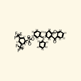 O=S(=O)([O-])c1cc(C(F)(F)F)cc(C(F)(F)F)c1.O=c1c2ccccc2oc2ccc([S+](c3ccccc3)c3ccccc3)cc12